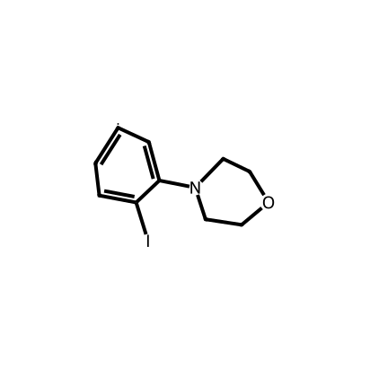 Ic1cc[c]cc1N1CCOCC1